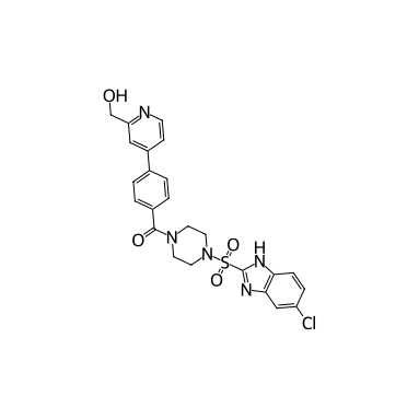 O=C(c1ccc(-c2ccnc(CO)c2)cc1)N1CCN(S(=O)(=O)c2nc3cc(Cl)ccc3[nH]2)CC1